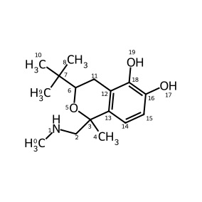 CNCC1(C)OC(C(C)(C)C)Cc2c1ccc(O)c2O